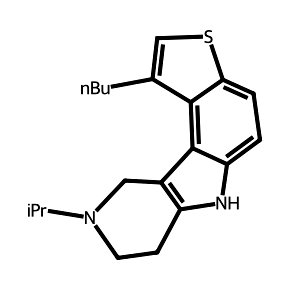 CCCCc1csc2ccc3[nH]c4c(c3c12)CN(C(C)C)CC4